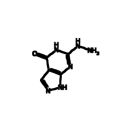 NNc1nc2[nH]ncc2c(=O)[nH]1